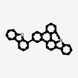 c1ccc2c(c1)oc1c(-c3ccc4c(c3)c3ccc5c6ccccc6n6c7cccc4c7c3c56)cccc12